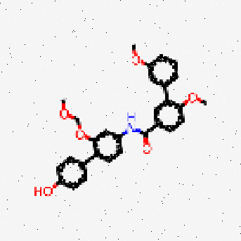 COCOc1cc(NC(=O)c2ccc(OC)c(-c3cccc(OC)c3)c2)ccc1-c1ccc(O)cc1